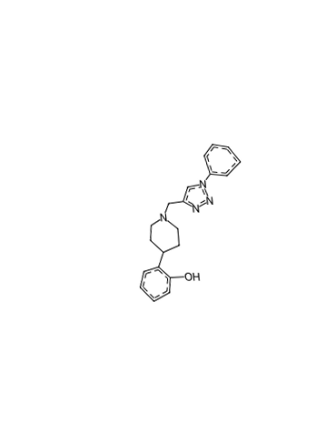 Oc1ccccc1C1CCN(Cc2cn(-c3ccccc3)nn2)CC1